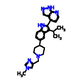 CC(C)c1c(-c2ccnc3[nH]ncc23)[nH]c2ccc(C3CCN(Cc4cn(C)cn4)CC3)cc12